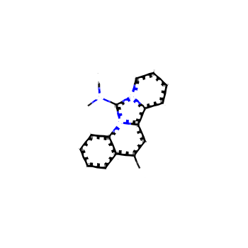 CCN(CC)c1n2c3ccccc3c(C(=O)O)cc2c2cccc[n+]12